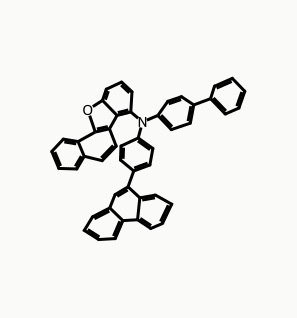 c1ccc(-c2ccc(N(c3ccc(-c4cc5ccccc5c5ccccc45)cc3)c3cccc4oc5c6ccccc6ccc5c34)cc2)cc1